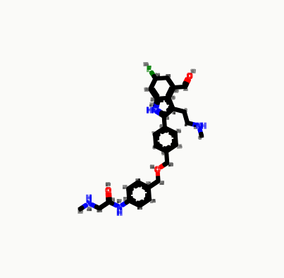 CNCCc1c(-c2ccc(COCc3ccc(NC(=O)CNC)cc3)cc2)[nH]c2c1=C(C=O)CC(F)C=2